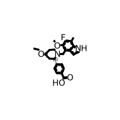 CCO[C@H]1CCN(Cc2c(OC)c(F)c(C)c3[nH]ccc23)[C@H](c2ccc(C(=O)O)cc2)C1